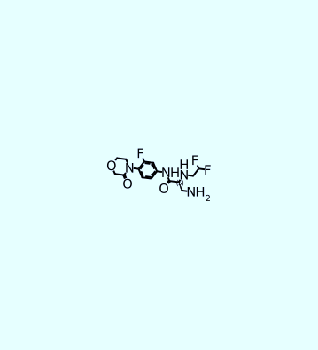 NC[C@H](NCC(F)F)C(=O)Nc1ccc(N2CCOCC2=O)c(F)c1